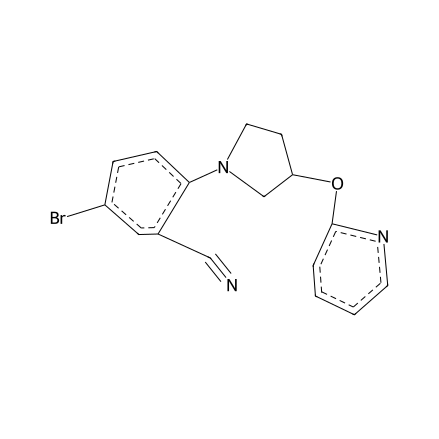 N#Cc1cc(Br)ccc1N1CCC(Oc2ccccn2)C1